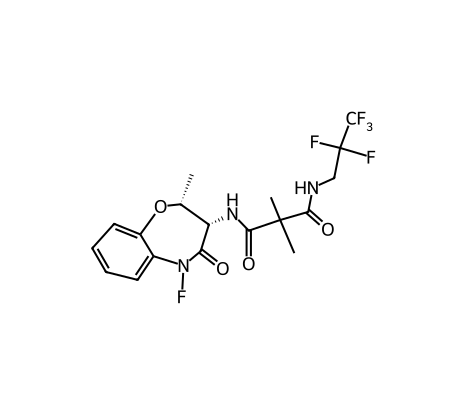 C[C@H]1Oc2ccccc2N(F)C(=O)[C@H]1NC(=O)C(C)(C)C(=O)NCC(F)(F)C(F)(F)F